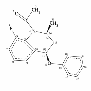 CC(=O)N1c2c(F)cccc2[C@H](Oc2ccccc2)C[C@@H]1C